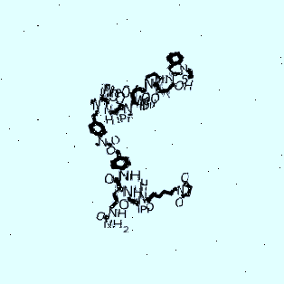 CC[C@H](C)[C@@H]([C@@H](CC(=O)N1CCC[C@H]1[C@H](OC)[C@@H](C)C(O)N[C@@H](Cc1ccccc1)c1nccs1)OC)N(C)C(=O)[C@@H](NC(=O)[C@H](C(C)C)N(C)CCc1ccc(N(C)C(=O)OCc2ccc(NC(=O)[C@H](CCCNC(N)=O)NC(=O)[C@@H](NC(=O)CCCCCN3C(=O)C=CC3=O)C(C)C)cc2)cc1)C(C)C